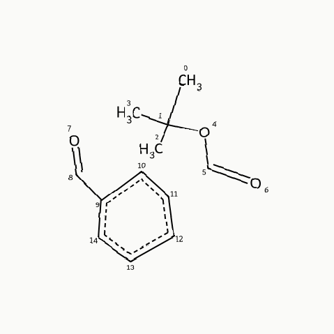 CC(C)(C)OC=O.O=Cc1ccccc1